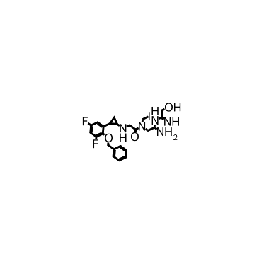 N=C(CO)NC(N)CN(CI)C(=O)CNC1CC1c1cc(F)cc(F)c1OCc1ccccc1